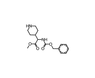 COC(=O)C(NC(=O)OCc1ccccc1)C1CCNCC1